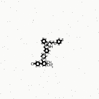 CC1(C)CCC(C2=CC=C(Cl)CC2)=C(CN2CCN(c3cccc(Cn4c(=N)n(CCCOc5ccc(F)cc5)c5ccccc54)c3)CC2)C1